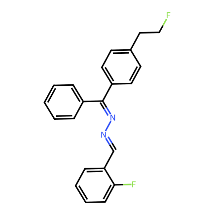 FCCc1ccc(C(=NN=Cc2ccccc2F)c2ccccc2)cc1